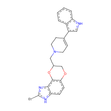 CCc1nc2c3c(ccc2[nH]1)OCC(CN1CC=C(c2c[nH]c4ccccc24)CC1)O3